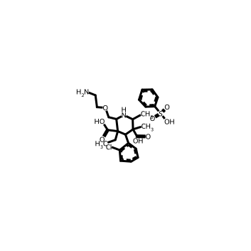 CCC1(C(=O)O)C(COCCN)NC(C)C(C)(C(=O)O)C1c1ccccc1Cl.O=S(=O)(O)c1ccccc1